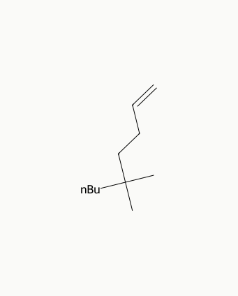 [CH2]CCCC(C)(C)CCC=C